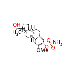 COc1cc2c(cc1OS(N)(=O)=O)CC[C@@H]1[C@@H]2CC[C@]2(C)[C@@H](CO)CC[C@@H]12